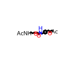 CC(=O)CC(=O)Cc1ccc(CNC(=O)COCCCNC(C)=O)cc1